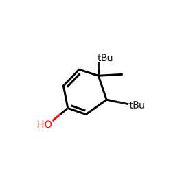 CC(C)(C)C1C=C(O)C=CC1(C)C(C)(C)C